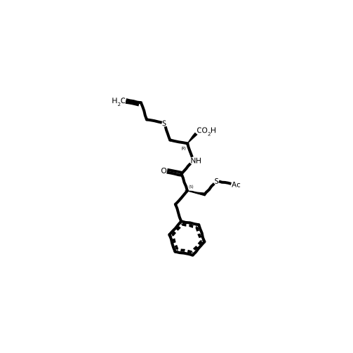 C=CCSC[C@H](NC(=O)[C@@H](CSC(C)=O)Cc1ccccc1)C(=O)O